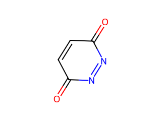 O=C1C=CC(=O)N=N1